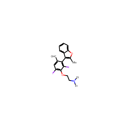 CCCCc1oc2ccccc2c1-c1c(C=O)cc(I)c(OCCN(CC)CC)c1I